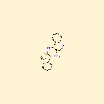 COC[C@@H](Cc1ccccc1)Nc1c(N)cnc2ccccc12